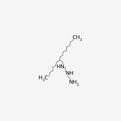 CCCCCCCCCC(CCCCCCC)CNCCNCCN